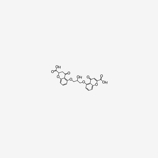 O=C(O)c1cc(=O)c2c(OCC(O)COc3cccc4c3C(=O)CC(C(=O)O)O4)cccc2o1